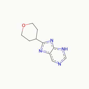 c1ncc2nc(C3CCOCC3)nc-2[nH]1